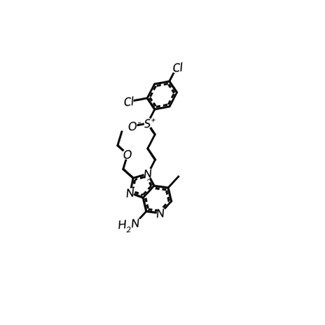 CCOCc1nc2c(N)ncc(C)c2n1CCC[S+]([O-])c1ccc(Cl)cc1Cl